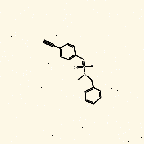 C#Cc1ccc(N=S(=O)(F)N(C)Cc2ccccc2)cc1